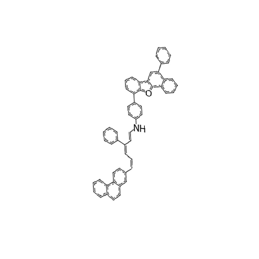 C(=C/c1ccc2c(ccc3ccccc32)c1)/C=C(\C=C\Nc1ccc(-c2cccc3c2oc2c4ccccc4c(-c4ccccc4)cc32)cc1)c1ccccc1